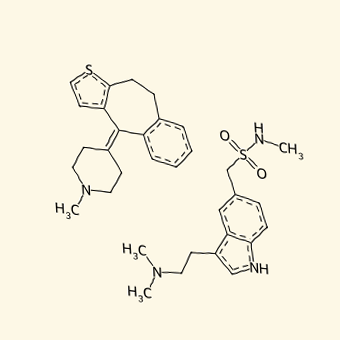 CN1CCC(=C2c3ccccc3CCc3sccc32)CC1.CNS(=O)(=O)Cc1ccc2[nH]cc(CCN(C)C)c2c1